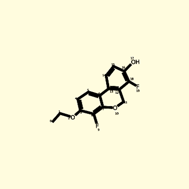 CCOc1ccc2c(c1F)OCc1c-2ccc(O)c1F